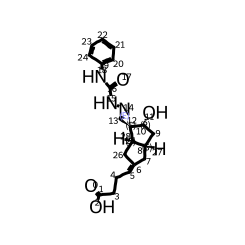 O=C(O)CCC=C1C[C@H]2C[C@@H](O)[C@H](/C=N/NC(=O)Nc3ccccc3)[C@H]2C1